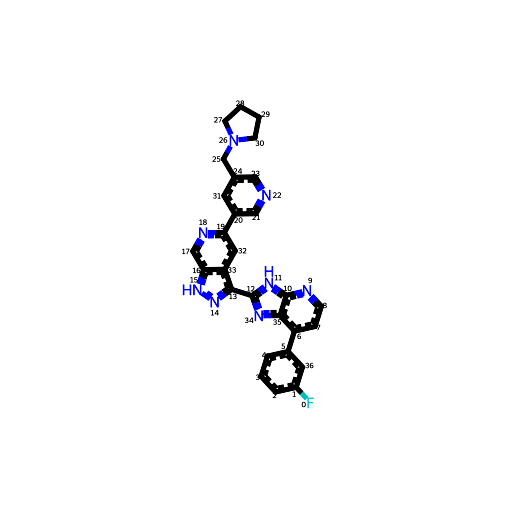 Fc1cccc(-c2ccnc3[nH]c(-c4n[nH]c5cnc(-c6cncc(CN7CCCC7)c6)cc45)nc23)c1